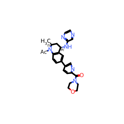 CC(=O)N1c2ccc(-c3ccc(C(=O)N4CCOCC4)nc3)cc2[C@H](Nc2cnccn2)C[C@@H]1C